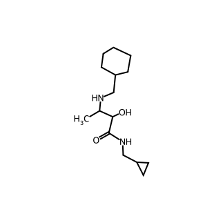 CC(NCC1CCCCC1)C(O)C(=O)NCC1CC1